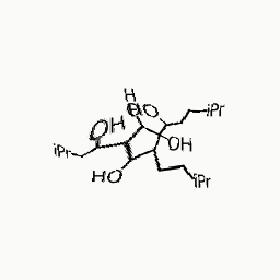 CC(C)CCC(O)C1(O)C(O)C(C(O)CC(C)C)C(O)C1CCC(C)C